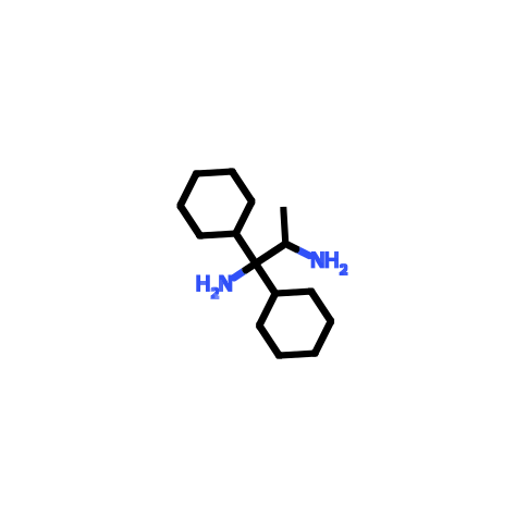 CC(N)C(N)(C1CCCCC1)C1CCCCC1